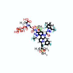 C[C@@H](C(=O)O)N(CCOC(=O)N(c1nn(CC(F)(F)F)c2c(-c3ccc(C#CC(C)(C)S(C)(=O)=O)nc3[C@H](Cc3cc(F)cc(F)c3)NC(=O)Cn3nc(C(F)(F)F)c4c3C(F)(F)[C@@H]3C[C@H]43)ccc(Cl)c12)S(C)(=O)=O)C(=O)OCOP(=O)(O)O